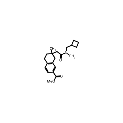 COC(=O)c1ccc2c(c1)CC(C)(CC(=O)N(C)CC1CCC1)CC2